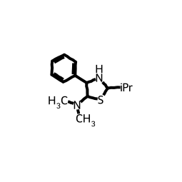 CC(C)C1NC(c2ccccc2)C(N(C)C)S1